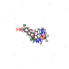 CCn1cc(-c2cc(Cn3ccn(C)/c3=N\C(=O)OC(C)(C)C)cc3c2OCC(Cc2ccc(F)c(O)c2)C3=O)c(C(F)(F)F)n1